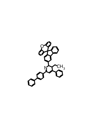 CCC1C(c2ccccc2)=CC(c2ccc(-c3ccccc3)cc2)=NC1c1ccc2c(c1)-c1ccccc1C21c2ccccc2Oc2ccccc21